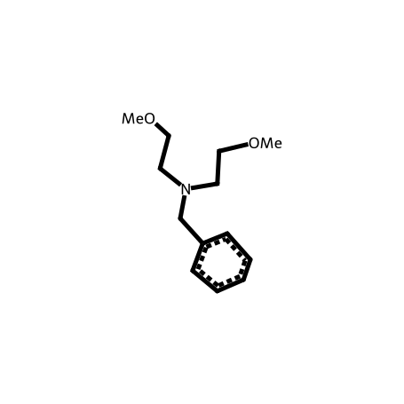 COCCN(CCOC)Cc1ccccc1